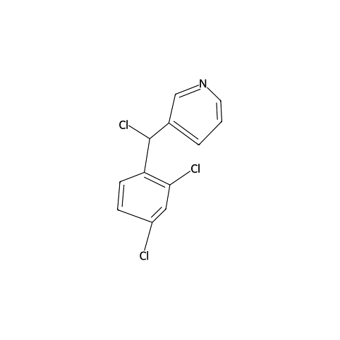 Clc1ccc(C(Cl)c2cccnc2)c(Cl)c1